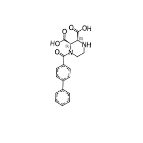 O=C(O)[C@H]1NCCN(C(=O)c2ccc(-c3ccccc3)cc2)[C@H]1C(=O)O